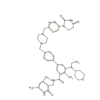 CCN(c1cc(-c2ccc(CN3CCN(Cc4ccc(N5CCC(=O)NC5=O)nn4)CC3)cc2)cc(C(=O)NCc2c(C)cc(C)[nH]c2=O)c1C)C1CCOCC1